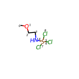 COCCNS(Cl)(Cl)Cl